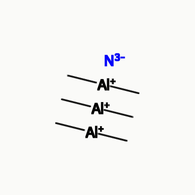 [CH3][Al+][CH3].[CH3][Al+][CH3].[CH3][Al+][CH3].[N-3]